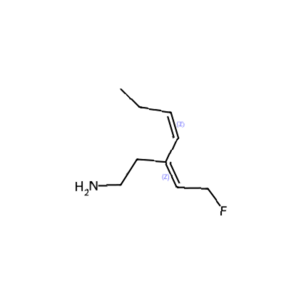 CC/C=C\C(=C/CF)CCN